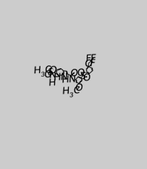 COc1cc(NC(=O)c2cc3ccc(NS(C)(=O)=O)cc3[nH]2)cc(S(=O)(=O)c2cccc(OC(F)(F)F)c2)c1